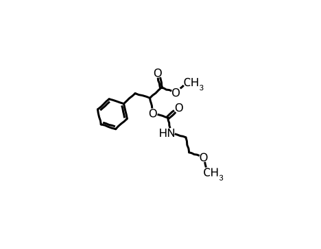 COCCNC(=O)OC(Cc1ccccc1)C(=O)OC